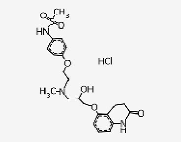 CN(CCOc1ccc(NS(C)(=O)=O)cc1)CC(O)COc1cccc2c1CCC(=O)N2.Cl